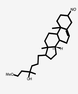 COCCC(C)(O)CCCC1CC[C@H]2C3CC=C4CC(N=O)CCC4(C)C3CCC12C